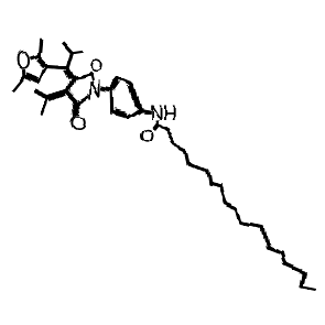 CCCCCCCCCCCCCCCCCC(=O)Nc1ccc(N2C(=O)C(=C(C)C)/C(=C(\c3cc(C)oc3C)C(C)C)C2=O)cc1